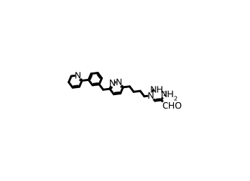 N/C(C=O)=C\N(N)CCCCc1ccc(Cc2cccc(C3=NCCC=C3)c2)nn1